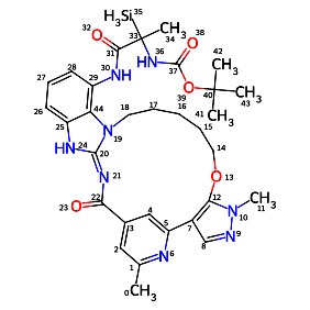 Cc1cc2cc(n1)-c1cnn(C)c1OCCCCCN1/C(=N/C2=O)Nc2cccc(NC(=O)C(C)([SiH3])NC(=O)OC(C)(C)C)c21